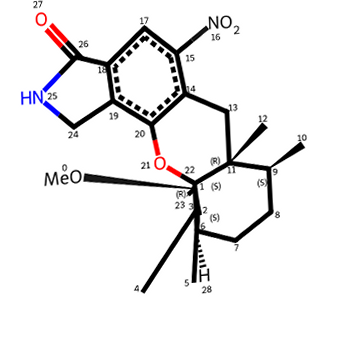 CO[C@@H]1CC(C)(C)[C@@H]2CC[C@H](C)[C@@]3(C)Cc4c([N+](=O)[O-])cc5c(c4O[C@@]23C1)CNC5=O